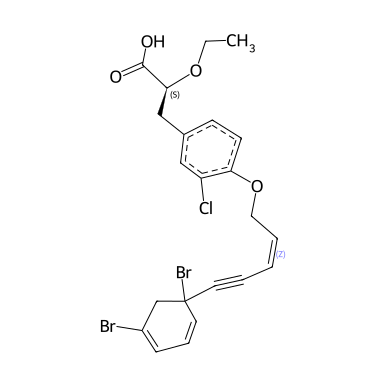 CCO[C@@H](Cc1ccc(OC/C=C\C#CC2(Br)C=CC=C(Br)C2)c(Cl)c1)C(=O)O